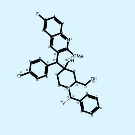 COc1nc2ccc(F)cc2cc1C(c1ccc(Cl)cc1)C1(O)CCN([C@@H](C)c2ccccc2)C(CO)C1